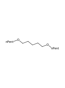 CCCCCOCCCCCOCCCCC